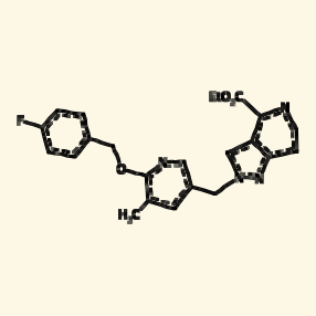 CCOC(=O)c1nccc2nn(Cc3cnc(OCc4ccc(F)cc4)c(C)c3)cc12